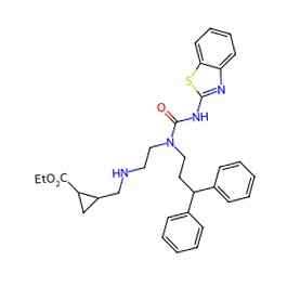 CCOC(=O)C1CC1CNCCN(CCC(c1ccccc1)c1ccccc1)C(=O)Nc1nc2ccccc2s1